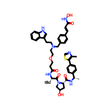 Cc1ncsc1-c1ccc([C@H](C)NC(=O)[C@@H]2C[C@@H](O)CN2C(=O)[C@@H](NC(=O)CCOCCN(CCc2c[nH]c3ccccc23)Cc2ccc(/C=C/C(=O)NO)cc2)C(C)(C)C)cc1